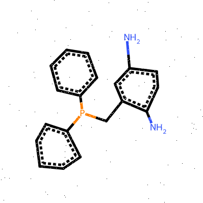 Nc1ccc(N)c(CP(c2ccccc2)c2ccccc2)c1